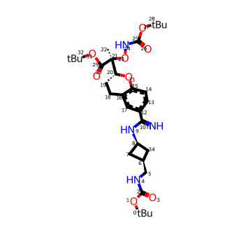 CC(C)(C)OC(=O)NC[C@H]1C[C@@H](NC(=N)c2ccc3c(c2)CC[C@H]([C@](C)(ONC(=O)OC(C)(C)C)C(=O)OC(C)(C)C)O3)C1